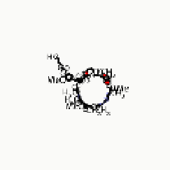 CO[C@H]1C[C@@H]2CC[C@@H](C)[C@@](O)(O2)C(=O)C(=O)N2CCCC[C@H]2C(=O)O[C@H]([C@H](C)C[C@@H]2CC[C@@H](OC(=O)OCCCO)[C@H](OC)C2)CC(=O)[C@H](C)/C=C(\C)[C@@H](O)[C@@H](OC)C(=O)[C@H](C)C[C@H](C)/C=C/C=C/C=C/1C